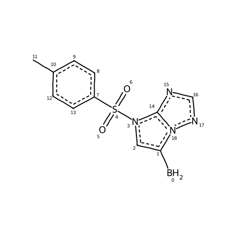 Bc1cn(S(=O)(=O)c2ccc(C)cc2)c2ncnn12